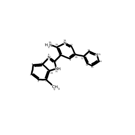 Cc1cccc2nc(-c3cc(-c4cccnc4)cnc3N)[nH]c12